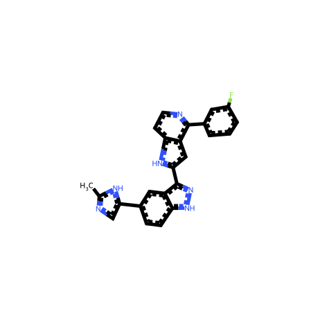 Cc1ncc(-c2ccc3[nH]nc(-c4cc5c(-c6cccc(F)c6)nccc5[nH]4)c3c2)[nH]1